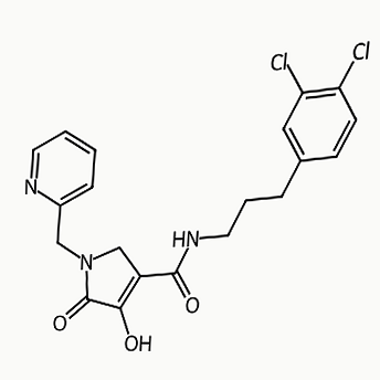 O=C(NCCCc1ccc(Cl)c(Cl)c1)C1=C(O)C(=O)N(Cc2ccccn2)C1